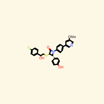 COc1cncc(-c2ccc(N3C(=O)[C@H](SC[C@H](O)c4ccc(F)cc4)[C@H]3c3ccc(O)cc3)cc2)c1